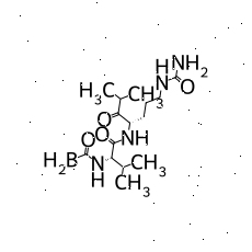 BC(=O)N[C@H](C(=O)N[C@@H](CCCNC(N)=O)C(=O)C(C)C)C(C)C